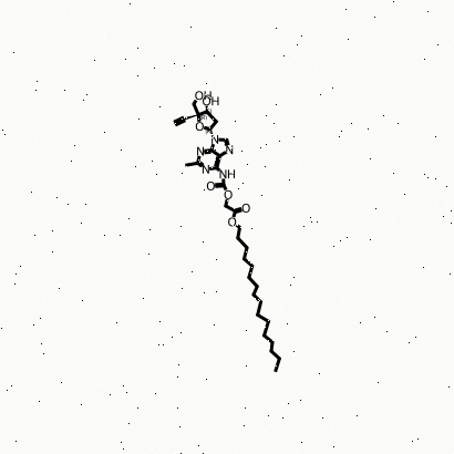 C#C[C@]1(CO)O[C@@H](n2cnc3c(NC(=O)OCC(=O)OCCCCCCCCCCCCCCCC)nc(C)nc32)C[C@@H]1O